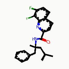 CC(C)CC(C)(Cc1ccccc1)NC(=O)c1ccc2ccc(F)c(F)c2n1